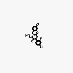 O=C1C(CO)N(Cc2ccc(Cl)cc2)C(=O)CN1c1ncc(Cl)cc1F